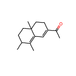 CC(=O)C1=CC2=C(C)C(C)CCC2(C)CC1